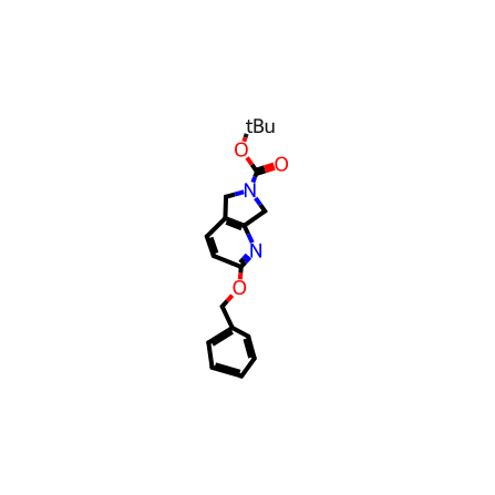 CC(C)(C)OC(=O)N1Cc2ccc(OCc3ccccc3)nc2C1